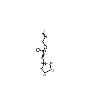 C=CCOC(=O)/C=C/N1CCCC1